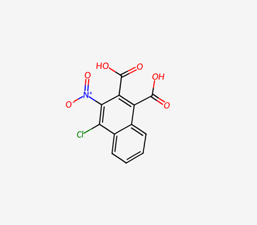 O=C(O)c1c([N+](=O)[O-])c(Cl)c2ccccc2c1C(=O)O